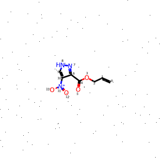 C=CCOC(=O)c1n[nH]cc1[N+](=O)[O-]